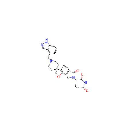 O=C1CCC(N2Cc3c(ccc4c3OCC43CCN(Cc4cccc5[nH]ncc45)CC3)C2=O)C(=O)N1